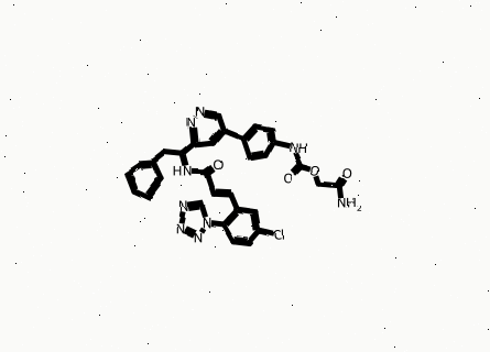 NC(=O)COC(=O)Nc1ccc(-c2cnnc(C(Cc3ccccc3)NC(=O)C=Cc3cc(Cl)ccc3-n3cnnn3)c2)cc1